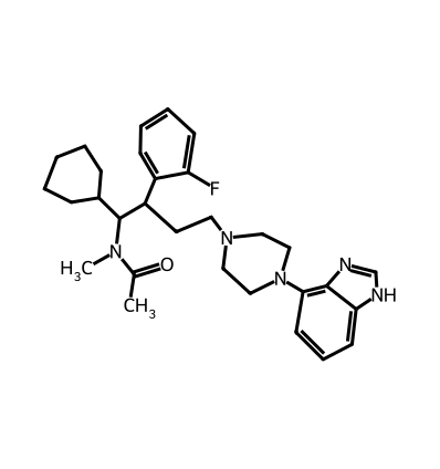 CC(=O)N(C)C(C1CCCCC1)C(CCN1CCN(c2cccc3[nH]cnc23)CC1)c1ccccc1F